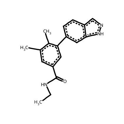 CCNC(=O)c1cc(C)c(C)c(-c2ccc3cn[nH]c3c2)c1